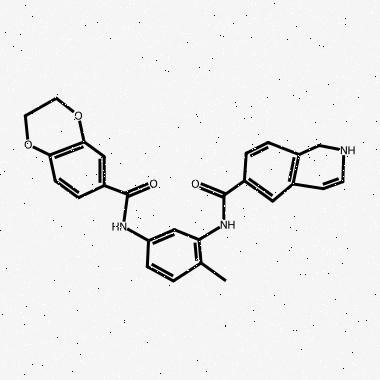 Cc1ccc(NC(=O)c2ccc3c(c2)OCCO3)cc1NC(=O)c1ccc2c(c1)C=CNC2